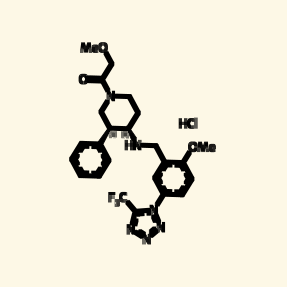 COCC(=O)N1CC[C@@H](NCc2cc(-n3nnnc3C(F)(F)F)ccc2OC)[C@@H](c2ccccc2)C1.Cl